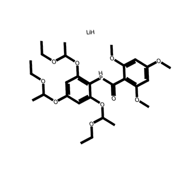 CCOC(C)Oc1cc(OC(C)OCC)c(PC(=O)c2c(OC)cc(OC)cc2OC)c(OC(C)OCC)c1.[LiH]